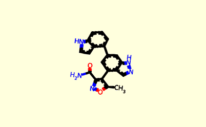 Cc1onc(C(N)=O)c1-c1cc(-c2cccc3[nH]ccc23)cc2[nH]ncc12